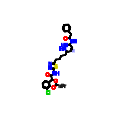 CCCC(=O)OC(C(=O)Nc1nnc(CCCCC(=N)/C=C\C(=N)NC(=O)Cc2ccccc2)s1)c1cccc(Cl)c1